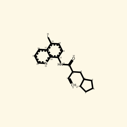 C=CC(CC1CCCC1)C(=O)Nc1ccc(I)c2cccnc12